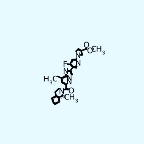 CCc1cc(C(=O)N2CCc3ccccc3[C@H]2C)nn2cc(-c3cnc(N4CC=C(C(=O)OC)C4)cc3F)nc12